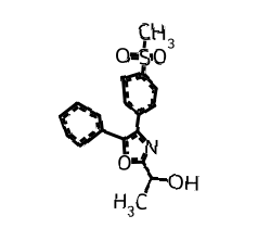 CC(O)c1nc(-c2ccc(S(C)(=O)=O)cc2)c(-c2ccccc2)o1